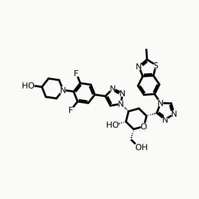 Cc1nc2ccc(-n3cnnc3[C@H]3C[C@@H](n4cc(-c5cc(F)c(N6CCC(O)CC6)c(F)c5)nn4)[C@@H](O)[C@@H](CO)O3)cc2s1